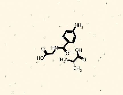 C[C@H](N)C(=O)O.Nc1ccc(C(=O)NCC(=O)O)cc1